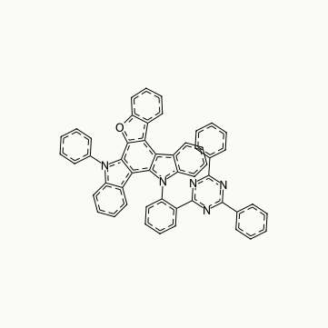 c1ccc(-c2nc(-c3ccccc3)nc(-c3ccccc3-n3c4ccccc4c4c5c6ccccc6oc5c5c(c6ccccc6n5-c5ccccc5)c43)n2)cc1